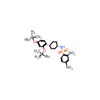 CC(C)(C)[Si](C)(C)Oc1ccc([C@H]2CC[C@@H](NS(=O)(=O)c3ccc([N+](=O)[O-])cc3[N+](=O)[O-])CC2)c(O[Si](C)(C)C(C)(C)C)c1